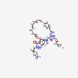 CN(C)CC(C)(C)CNC(=O)c1ccc2cc1OCCCC=CCCCOc1ccc(cc1)CNc1nc(nc(OCC(F)(F)F)n1)N2